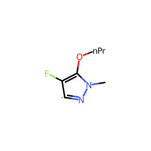 CCCOc1c(F)[c]nn1C